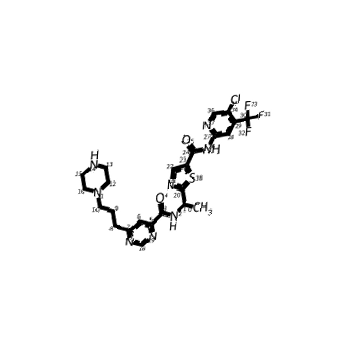 CC(NC(=O)c1cc(CCCN2CCNCC2)ncn1)c1ncc(C(=O)Nc2cc(C(F)(F)F)c(Cl)cn2)s1